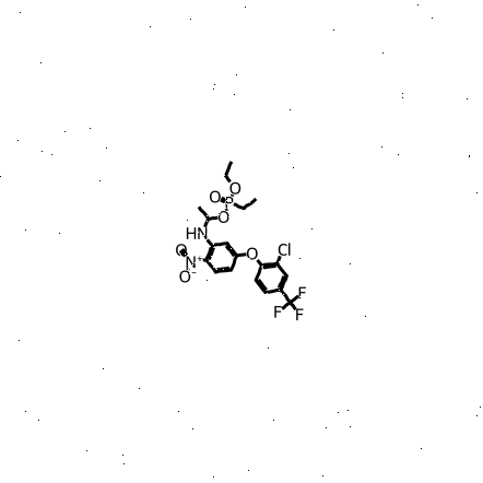 CCOP(=O)(CC)OC(C)Nc1cc(Oc2ccc(C(F)(F)F)cc2Cl)ccc1[N+](=O)[O-]